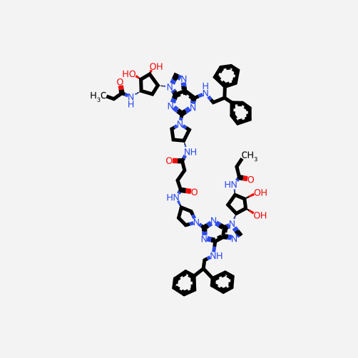 CCC(=O)N[C@H]1C[C@@H](n2cnc3c(NCC(c4ccccc4)c4ccccc4)nc(N4CC[C@@H](NC(=O)CCC(=O)N[C@@H]5CCN(c6nc(NCC(c7ccccc7)c7ccccc7)c7ncn([C@@H]8C[C@H](NC(=O)CC)[C@@H](O)[C@H]8O)c7n6)C5)C4)nc32)[C@H](O)[C@@H]1O